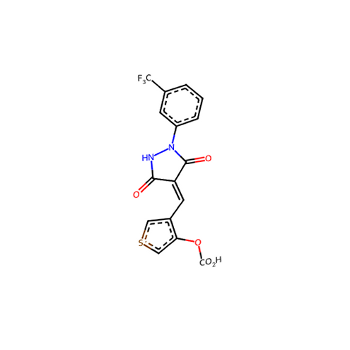 O=C(O)Oc1cscc1C=C1C(=O)NN(c2cccc(C(F)(F)F)c2)C1=O